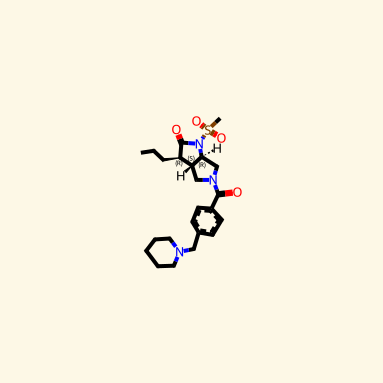 CCC[C@H]1C(=O)N(S(C)(=O)=O)[C@H]2CN(C(=O)c3ccc(CN4CCCCC4)cc3)C[C@H]12